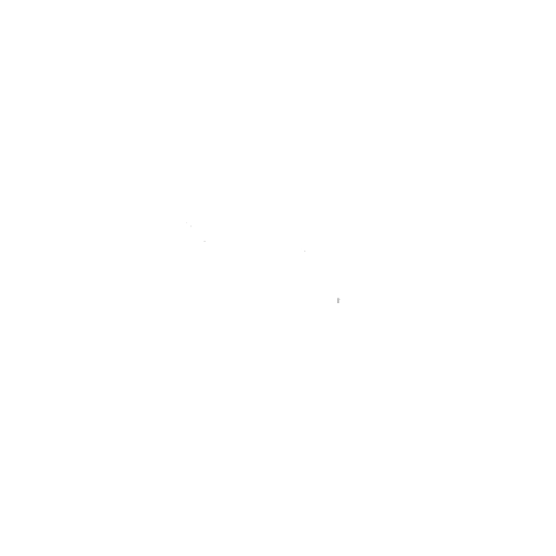 CC(C)(C)OC(=O)NCCCN1CCC(c2cc(C(=O)N3CCCC4CCCC=C43)cs2)CC1